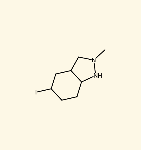 CN1CC2CC(I)CCC2N1